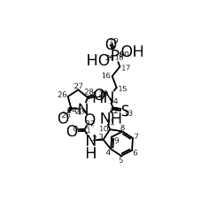 O=C(NC1c2cccc(c2)C1NC(=S)NCCCP(=O)(O)O)ON1C(=O)CCC1=O